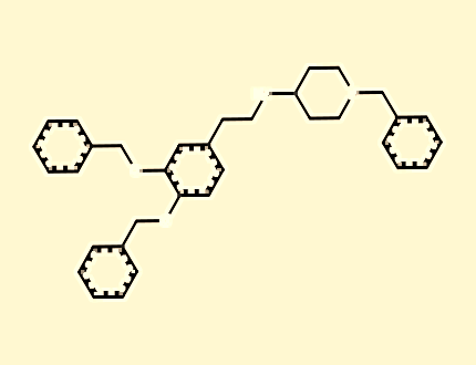 c1ccc(COc2ccc(CCNC3CCN(Cc4ccccc4)CC3)cc2OCc2ccccc2)cc1